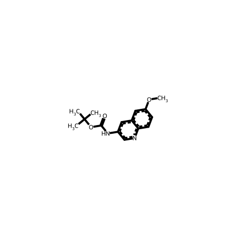 COc1ccc2ncc(NC(=O)OC(C)(C)C)cc2c1